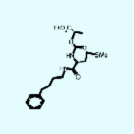 CCOC(=O)[C@H](C)OC(=O)N[C@@H](CCSC)C(=O)NCCCCc1ccccc1